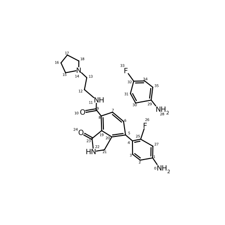 Nc1ccc(-c2ccc(C(=O)NCCN3CCCC3)c3c2CNC3=O)c(F)c1.Nc1ccc(F)cc1